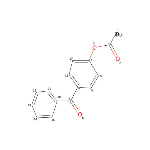 CCC(C)C(=O)Oc1ccc(C(=O)c2ccccc2)cc1